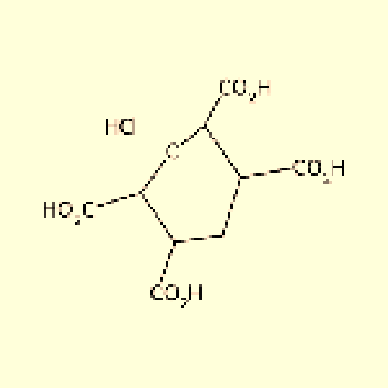 Cl.O=C(O)C1CC(C(=O)O)C(C(=O)O)CC1C(=O)O